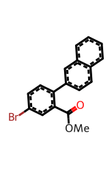 COC(=O)c1cc(Br)ccc1-c1ccc2ccccc2c1